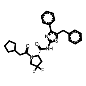 O=C(Nc1nc(-c2ccccc2)c(Cc2ccccc2)s1)[C@@H]1CC(F)(F)CN1C(=O)CC1CCCC1